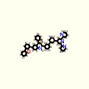 CN1c2ccc(-c3cccc4c3oc3ccccc34)cc2-c2c(sc3ccccc23)C1c1cccc(C2=CC(c3cc(-c4ccccn4)nc(-c4ccccn4)c3)CC=C2)c1